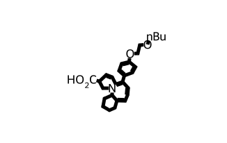 CCCCOCCOc1ccc(C2=C3C=CC(C(=O)O)CN3C3CCCCC3=CC=C2)cc1